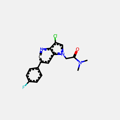 CN(C)C(=O)Cn1cc(Cl)c2ncc(-c3ccc(F)cc3)cc21